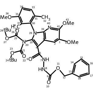 COc1cc2c(C(=O)NNC(=O)OCc3ccccc3)c(N(C(=O)OC(C)(C)C)C(=O)OC(C)(C)C)n(-c3c(C)ccc(OC)c3C)c2nc1OC